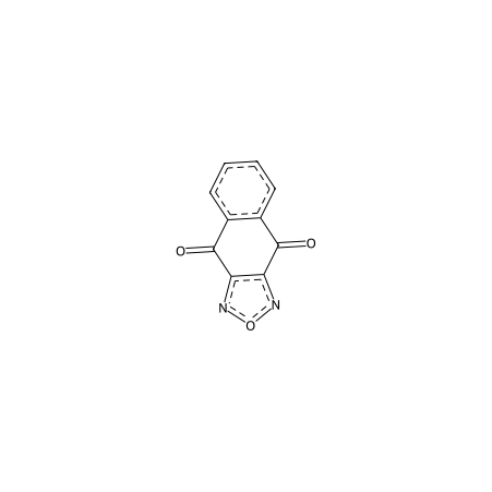 O=C1c2ccccc2C(=O)c2nonc21